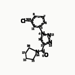 O=C(c1cn(-c2cccc(Cl)c2)nn1)N1CCCC1